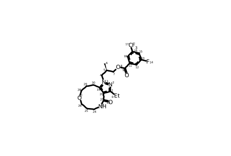 CCc1nn(C[C@@H](C)COC(=O)c2cc(F)cc(C(F)(F)F)c2)c2c1C(=O)NCCCOCCC2